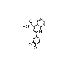 O=C(O)c1cc(-c2ccc3c(c2)OCO3)nc2ccncc12